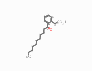 CC(=O)CCCCCCCCCC(=O)c1ccccc1CC(=O)O